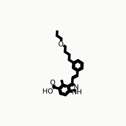 CCCOCCCCc1cccc(/C=C/c2n[nH]c3ccc(C(=O)O)c(C)c23)c1